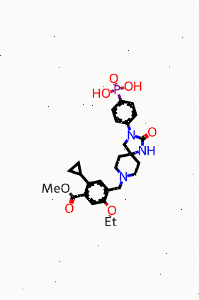 CCOc1cc(C(=O)OC)c(C2CC2)cc1CN1CCC2(CC1)CN(c1ccc(P(=O)(O)O)cc1)C(=O)N2